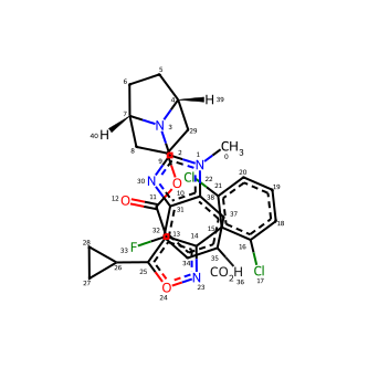 Cn1c(N2[C@@H]3CC[C@H]2CC(OC(=O)c2c(-c4c(Cl)cccc4Cl)noc2C2CC2)C3)nc2c(F)cc(C(=O)O)cc21